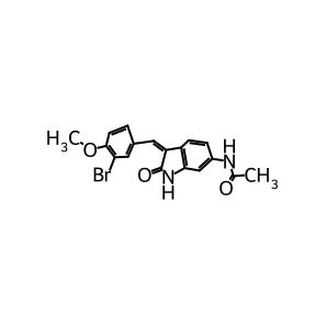 COc1ccc(C=C2C(=O)Nc3cc(NC(C)=O)ccc32)cc1Br